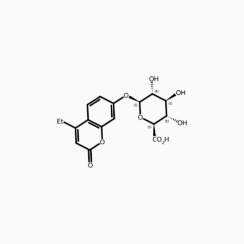 CCc1cc(=O)oc2cc(O[C@@H]3O[C@H](C(=O)O)[C@@H](O)[C@H](O)[C@H]3O)ccc12